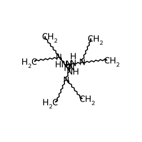 C=CCCCCCCCCCN(CCCCCCCCCC=C)CCCNc1nc(NCCCN(CCCCCCCCCC=C)CCCCCCCCCC=C)nc(NCCCN(CCCCCCCCCC=C)CCCCCCCCCC=C)n1